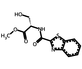 COC(=O)[C@H](CO)NC(=O)c1nc2ccccc2s1